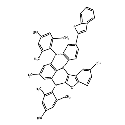 Cc1cc2c3c(c1)N(c1c(C)cc(C(C)(C)C)cc1C)c1oc4ccc(C(C)(C)C)cc4c1B3c1ccc(-c3cc4ccccc4s3)cc1N2c1c(C)cc(C(C)(C)C)cc1C